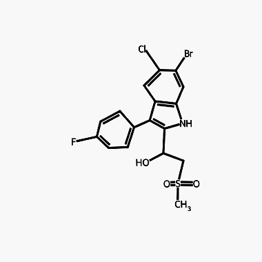 CS(=O)(=O)CC(O)c1[nH]c2cc(Br)c(Cl)cc2c1-c1ccc(F)cc1